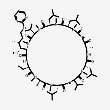 CC[C@H]1NC(=O)[C@H]([C@H](O)[C@H](C)CCOc2ncccn2)N(C)C(=O)[C@@H](C(C)C)N(C)C(=O)[C@@H](CC(C)C)N(C)C(=O)[C@@H](CC(C)C)N(C)C(=O)NC(=O)[C@H](C)NC(=O)[C@H](CC(C)C)N(C)C(=O)C(C(C)C)NC(=O)[C@H](CC(C)C)N(C)C(=O)[C@@H](C)N(C)C1=O